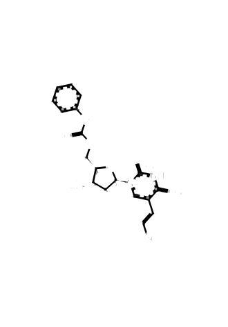 O=C(OC[C@H]1O[C@@H](n2cc(C=CBr)c(=O)[nH]c2=O)C[C@@H]1O)Oc1ccccc1